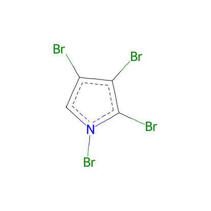 Brc1cn(Br)c(Br)c1Br